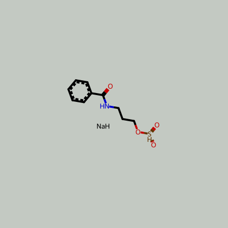 O=C(NCCCO[SH](=O)=O)c1ccccc1.[NaH]